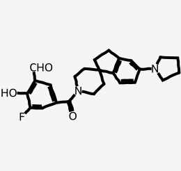 O=Cc1cc(C(=O)N2CCC3(CCc4cc(N5CCCC5)ccc43)CC2)cc(F)c1O